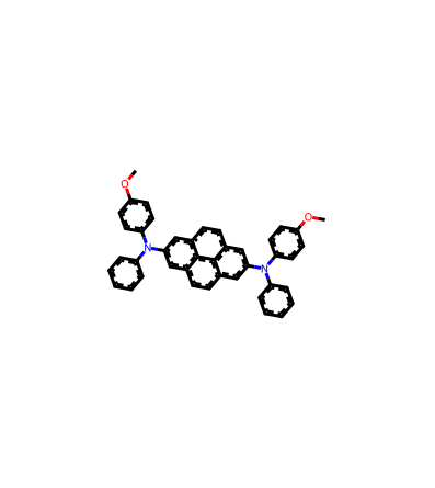 COc1ccc(N(c2ccccc2)c2cc3ccc4cc(N(c5ccccc5)c5ccc(OC)cc5)cc5ccc(c2)c3c45)cc1